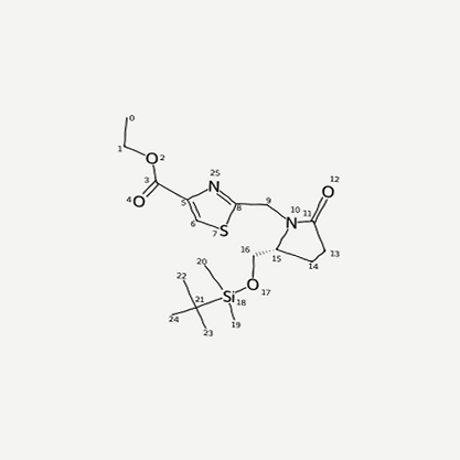 CCOC(=O)c1csc(CN2C(=O)CC[C@@H]2CO[Si](C)(C)C(C)(C)C)n1